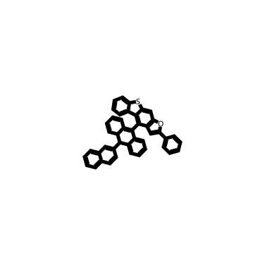 C1=CC2=C(c3c4cc(-c5ccccc5)oc4cc4sc5ccccc5c34)c3ccccc3C(c3ccc4ccccc4c3)C2C=C1